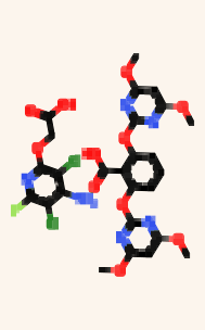 COc1cc(OC)nc(Oc2cccc(Oc3nc(OC)cc(OC)n3)c2C(=O)O)n1.Nc1c(Cl)c(F)nc(OCC(=O)O)c1Cl